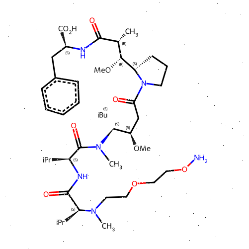 CC[C@H](C)[C@@H]([C@@H](CC(=O)N1CCC[C@H]1[C@H](OC)[C@@H](C)C(=O)N[C@@H](Cc1ccccc1)C(=O)O)OC)N(C)C(=O)[C@@H](NC(=O)[C@H](C(C)C)N(C)CCOCCON)C(C)C